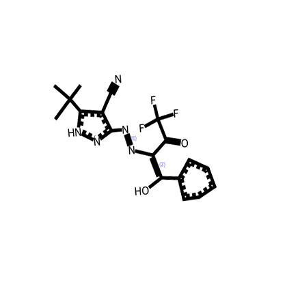 CC(C)(C)c1[nH]nc(/N=N/C(C(=O)C(F)(F)F)=C(\O)c2ccccc2)c1C#N